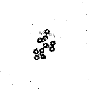 Cc1cccc(C)c1-c1ccc2c(c1)c1ccccc1n2-c1cc(-c2ccc([Si](c3ccccc3)(c3ccccc3)c3ccccc3)cc2)cc(-n2c3ccccc3c3ccccc32)c1